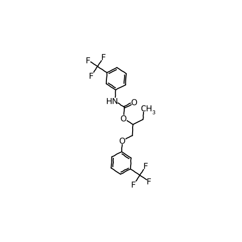 CCC(COc1cccc(C(F)(F)F)c1)OC(=O)Nc1cccc(C(F)(F)F)c1